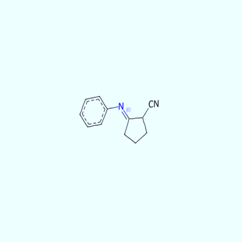 N#CC1CCC/C1=N\c1ccccc1